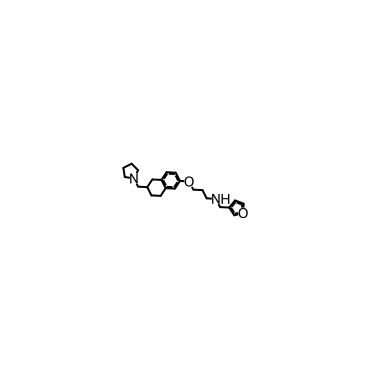 c1cc(CNCCCOc2ccc3c(c2)CCC(CN2CCCC2)C3)co1